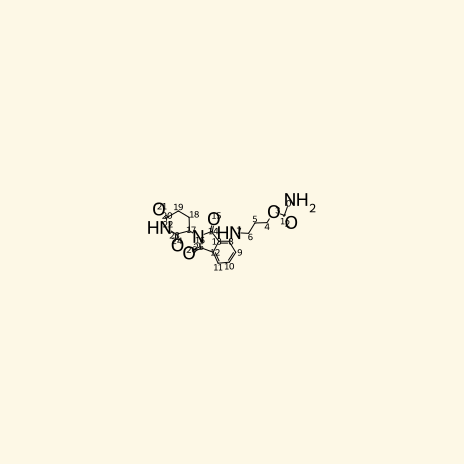 NC(=O)OCCCNc1cccc2c1C(=O)N(C1CCC(=O)NC1=O)C2=O